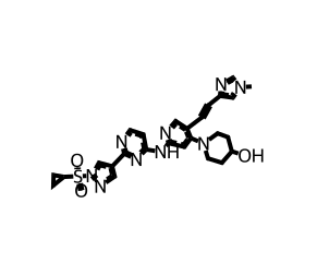 Cn1cnc(C#Cc2cnc(Nc3ccnc(-c4cnn(S(=O)(=O)C5CC5)c4)n3)cc2N2CCC(O)CC2)c1